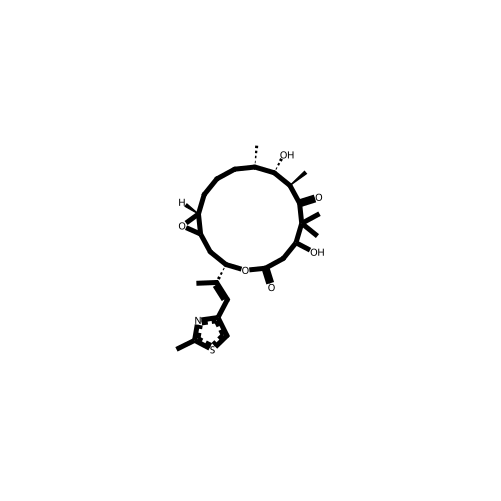 C/C(=C\c1csc(C)n1)[C@@H]1CC2O[C@@H]2CCC[C@H](C)[C@H](O)[C@@H](C)C(=O)C(C)(C)C(O)CC(=O)O1